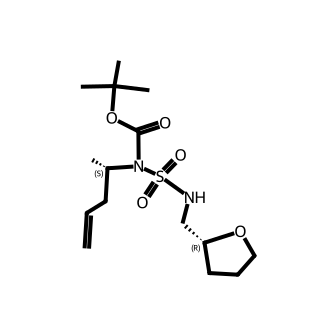 C=CC[C@H](C)N(C(=O)OC(C)(C)C)S(=O)(=O)NC[C@H]1CCCO1